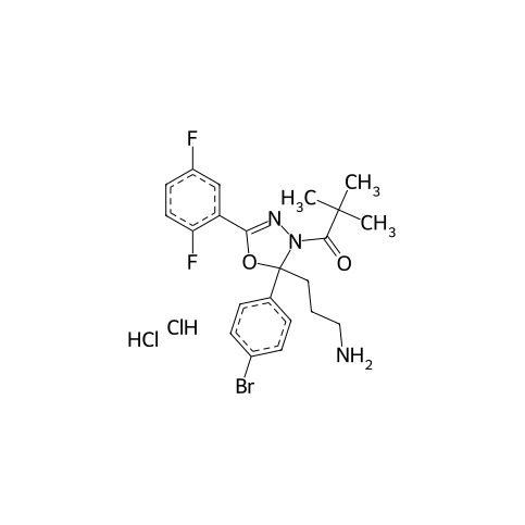 CC(C)(C)C(=O)N1N=C(c2cc(F)ccc2F)OC1(CCCN)c1ccc(Br)cc1.Cl.Cl